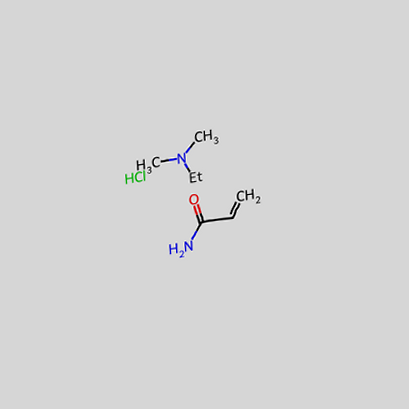 C=CC(N)=O.CCN(C)C.Cl